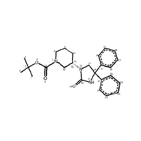 CC(C)(C)OC(=O)N1CCC[C@H](N2CC(c3ccccc3)(c3ccccc3)NC2=O)C1